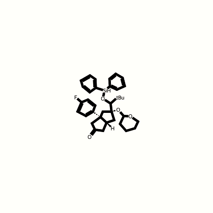 CC(C)(C)C(O[SiH](c1ccccc1)c1ccccc1)[C@@]1(OC2CCCCO2)C[C@@H]2CC(=O)C[C@@]2(c2ccc(F)cc2)C1